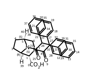 O=C(O)[C@@H]1[C@H]2CC[C@@H](CN1C(=O)C(c1ccccc1)c1ccccc1)N2C(=O)C(c1ccccc1)c1ccccc1